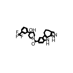 O=C(c1ccc2[nH]c3c(c2c1)CCCc1cn[nH]c1-3)N1CCC(O)(c2cccc(C(F)(F)F)c2)CC1